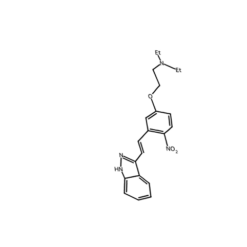 CCN(CC)CCOc1ccc([N+](=O)[O-])c(C=Cc2n[nH]c3ccccc23)c1